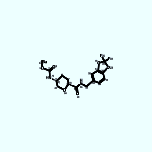 CC(C)(C)OC(=O)N[C@@H]1CC[C@@H](C(=O)NCc2ccc3c(c2)OC(F)(F)O3)OC1